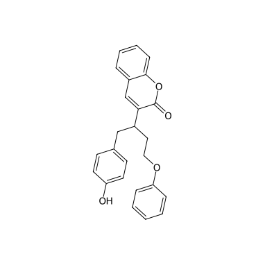 O=c1oc2ccccc2cc1C(CCOc1ccccc1)Cc1ccc(O)cc1